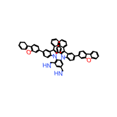 N=Cc1cc(C=N)c(-n2c3ccc(-c4ccc5c6c(oc5c4)C=CCC6)cc3c3c4ccccc4ccc32)c(-n2c3ccc(-c4ccc5c(c4)oc4ccccc45)cc3c3c4ccccc4ccc32)c1